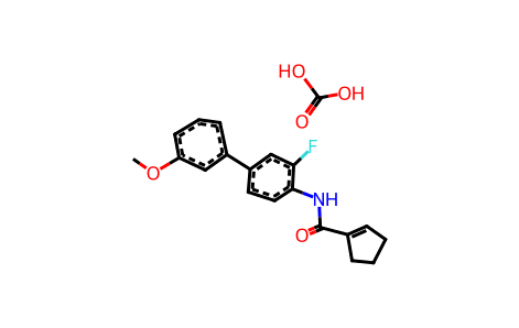 COc1cccc(-c2ccc(NC(=O)C3=CCCC3)c(F)c2)c1.O=C(O)O